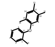 [CH2]c1ccccc1Oc1cc(C)c(C)cc1C